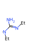 CC[N]C(N)=NCC